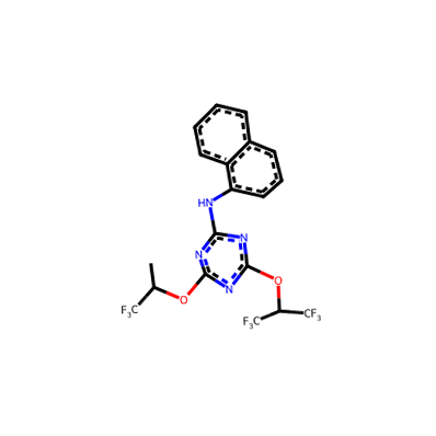 CC(Oc1nc(Nc2cccc3ccccc23)nc(OC(C(F)(F)F)C(F)(F)F)n1)C(F)(F)F